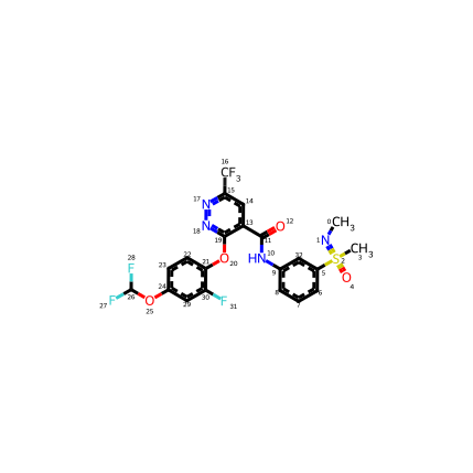 CN=S(C)(=O)c1cccc(NC(=O)c2cc(C(F)(F)F)nnc2Oc2ccc(OC(F)F)cc2F)c1